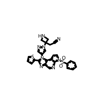 N#CCC1(n2cc(-n3c(-c4cccs4)nc4cnc5c(ccn5S(=O)(=O)c5ccccc5)c43)cn2)CNC1